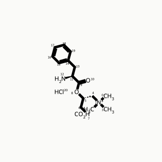 C[N+](C)(C)C[C@H](CC(=O)O)OC(=O)[C@@H](N)Cc1ccccc1.Cl